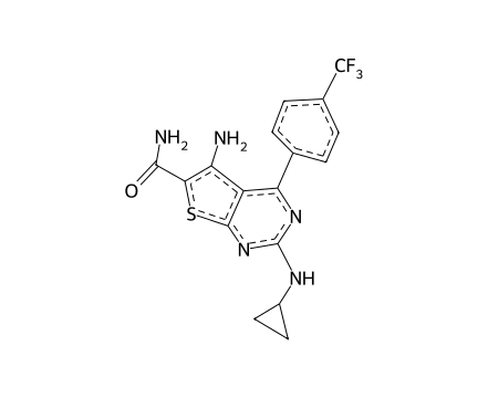 NC(=O)c1sc2nc(NC3CC3)nc(-c3ccc(C(F)(F)F)cc3)c2c1N